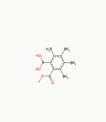 Bc1c(B)c(B)c(C(=O)OC)c(B(O)O)c1B